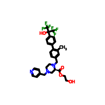 Cc1cc(CN2CCN(Cc3ccncc3)C[C@@H]2C(=O)OCCO)ccc1-c1ccc(C(O)(C(F)(F)F)C(F)(F)F)cc1